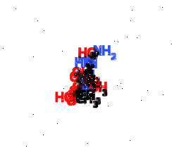 CC(O/N=C(/C(=O)N[C@@H]1C(=O)N(OS(=O)(=O)O)C1(C)C)c1csc(N)n1)(C(=O)O)[C@H]1CCc2cc(C3CN=C(NC[C@H](O)CN)NC3)ccc2O1.O=CO